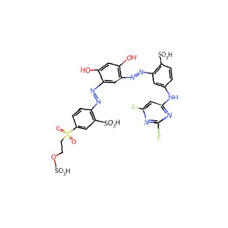 O=S(=O)(O)OCCS(=O)(=O)c1ccc(/N=N/c2cc(/N=N/c3cc(Nc4cc(F)nc(F)n4)ccc3S(=O)(=O)O)c(O)cc2O)c(S(=O)(=O)O)c1